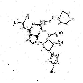 CCc1noc([C@H]2O[C@@H](n3cnc4c(NC(CC)CC)nc(NCCN5CCOCC5)nc43)[C@H](OC=O)[C@@H]2O)n1